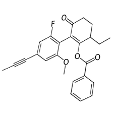 CC#Cc1cc(F)c(C2=C(OC(=O)c3ccccc3)C(CC)CCC2=O)c(OC)c1